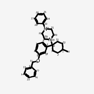 CC1CCC(c2cccc(OCc3ccccc3)c2)(N2CCN(c3ccccc3)CC2)CC1